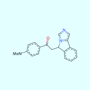 CNc1ccc(C(=O)CC2c3ccccc3-c3cncn32)cc1